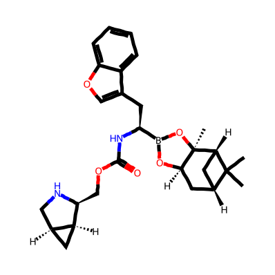 CC1(C)[C@@H]2C[C@H]3OB([C@H](Cc4coc5ccccc45)NC(=O)OC[C@@H]4NC[C@@H]5C[C@@H]54)O[C@@]3(C)[C@H]1C2